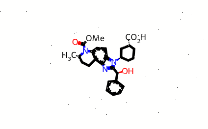 COC(=O)N1c2ccc3c(nc([C@@H](O)c4ccccc4)n3[C@@H]3CCC[C@@H](C(=O)O)C3)c2CC[C@@H]1C